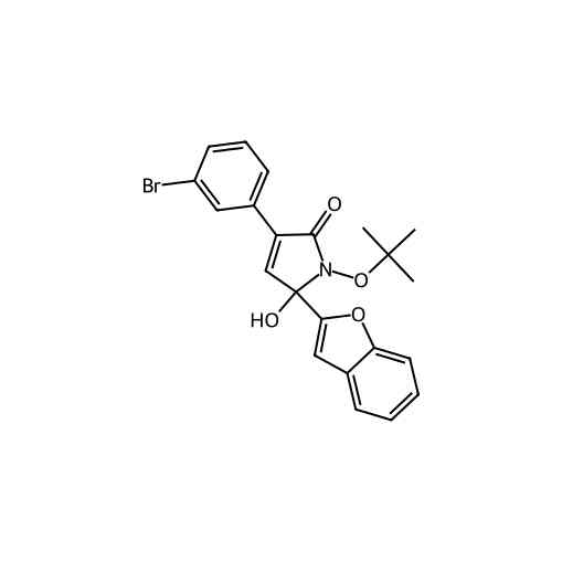 CC(C)(C)ON1C(=O)C(c2cccc(Br)c2)=CC1(O)c1cc2ccccc2o1